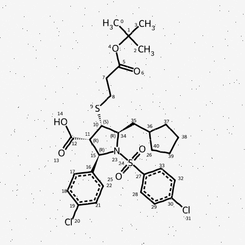 CC(C)(C)OC(=O)CCS[C@H]1[C@@H](C(=O)O)[C@H](c2ccc(Cl)cc2)N(S(=O)(=O)c2ccc(Cl)cc2)[C@@H]1CC1CCCC1